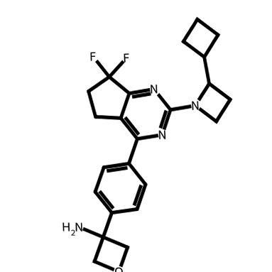 NC1(c2ccc(-c3nc(N4CCC4C4CCC4)nc4c3CCC4(F)F)cc2)COC1